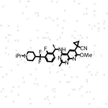 COc1nc2nc(C)nc(N[C@H](C)c3cccc(C(F)(F)C4CCN(C(C)C)CC4)c3F)c2cc1C1(C#N)CC1